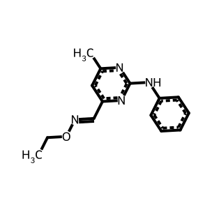 CCON=Cc1cc(C)nc(Nc2ccccc2)n1